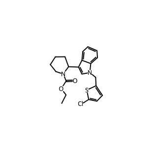 CCOC(=O)N1CCCCC1c1cn(Cc2ccc(Cl)s2)c2ccccc12